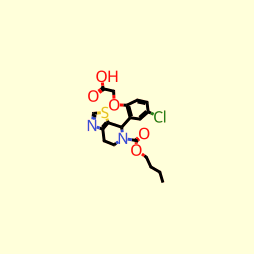 CCCCOC(=O)N1CCc2ncsc2C1c1cc(Cl)ccc1OCC(=O)O